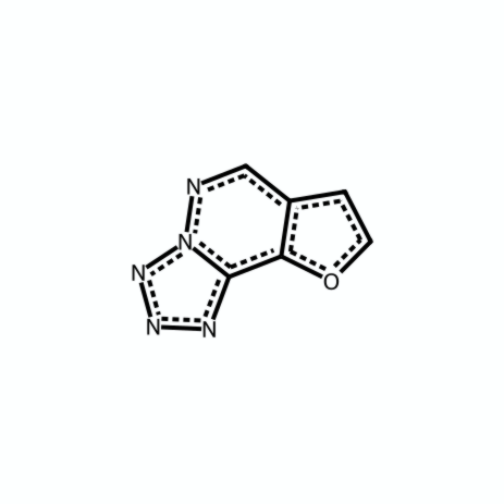 c1cc2cnn3nnnc3c2o1